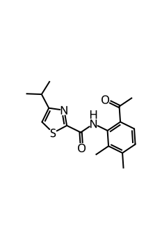 CC(=O)c1ccc(C)c(C)c1NC(=O)c1nc(C(C)C)cs1